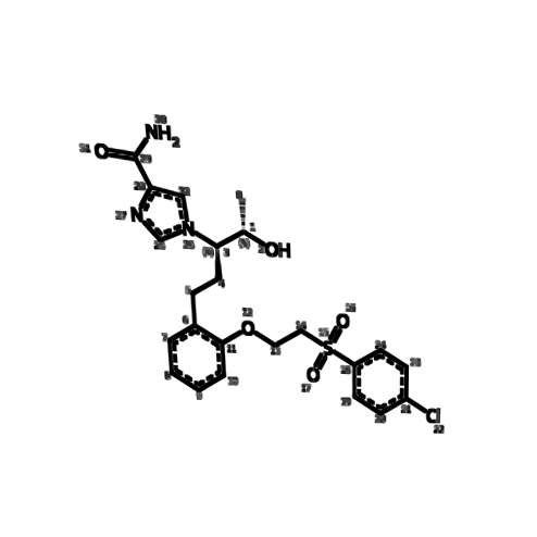 C[C@H](O)[C@@H](CCc1ccccc1OCCS(=O)(=O)c1ccc(Cl)cc1)n1cnc(C(N)=O)c1